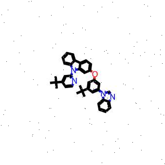 CC(C)(C)c1cc(Oc2ccc3c4ccccc4n(-c4cc(C(C)(C)C)ccn4)c3c2)cc(-n2cnc3ccccc32)c1